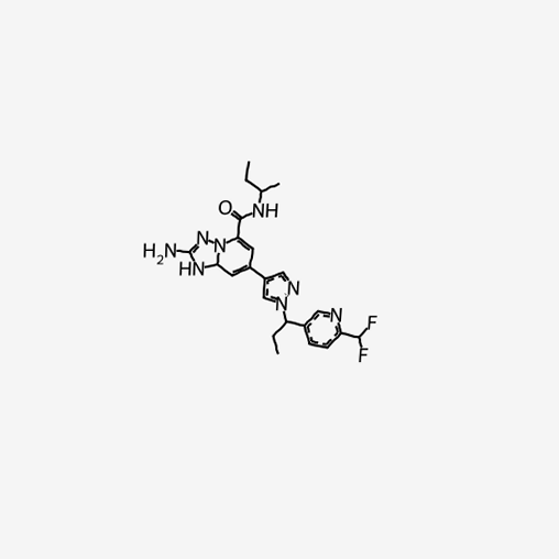 CCC(C)NC(=O)C1=CC(c2cnn(C(CC)c3ccc(C(F)F)nc3)c2)=CC2NC(N)=NN12